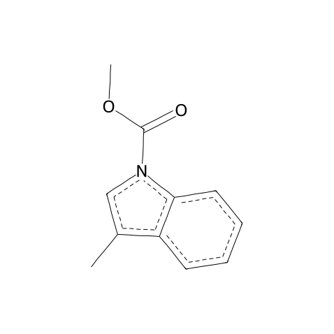 COC(=O)n1cc(C)c2ccccc21